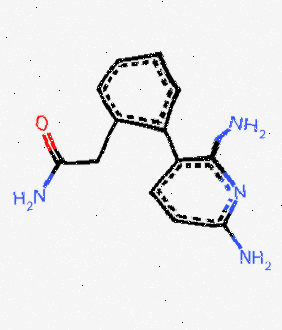 NC(=O)Cc1ccccc1-c1ccc(N)nc1N